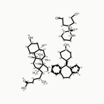 CN1CCC(=C2c3ccccc3CCc3sccc32)CC1.C[C@H](CCC(=O)O)[C@H]1CC[C@H]2[C@@H]3CC[C@@H]4C[C@H](O)CC[C@]4(C)[C@H]3CC[C@]12C.O=P1(N(CCCl)CCCl)NCCCO1